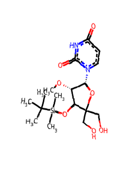 CO[C@H]1C(O[Si](C)(C)C(C)(C)C)C(CO)(CO)O[C@H]1n1ccc(=O)[nH]c1=O